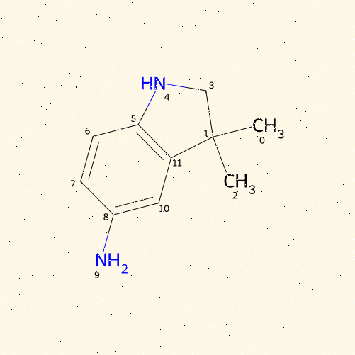 CC1(C)CNc2ccc(N)cc21